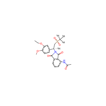 [2H]C([2H])([2H])S(=O)(=O)C[C@]([2H])(c1ccc(OC)c(OCC)c1)N1C(=O)c2cccc(NC(C)=O)c2C1=O